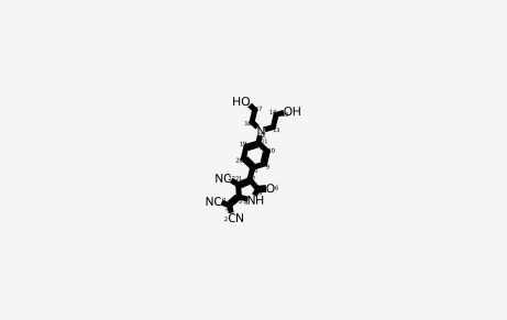 N#CC(C#N)=C1NC(=O)C(c2ccc(N(CCO)CCO)cc2)=C1C#N